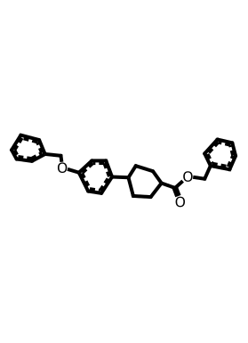 O=C(OCc1ccccc1)C1CCC(c2ccc(OCc3ccccc3)cc2)CC1